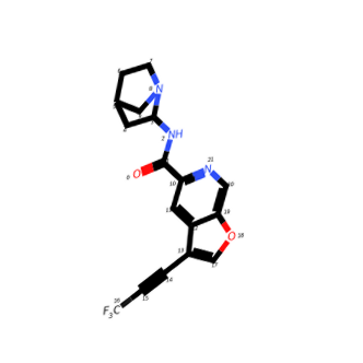 O=C(NC1CC2CCN1C2)c1cc2c(C#CC(F)(F)F)coc2cn1